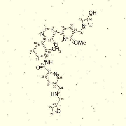 COc1nc(-c2ccnc(-c3cccc(NC(=O)c4ccc(CNCC5CCO5)cn4)c3C)c2Cl)ccc1CN1CC(O)C1